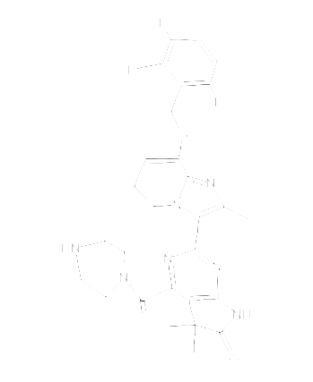 Cc1nc2c(OCc3c(F)ccc(F)c3F)cccn2c1-c1nc2c(c(C(=O)N3CCNCC3)n1)C(C)(C)C(=O)N2